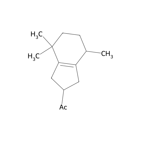 CC(=O)C1CC2=C(C1)C(C)(C)CCC2C